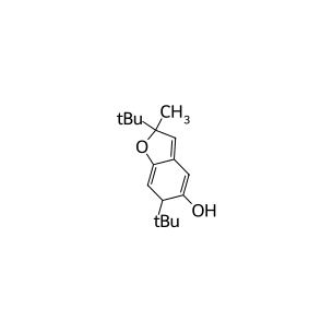 CC(C)(C)C1C=C2OC(C)(C(C)(C)C)C=C2C=C1O